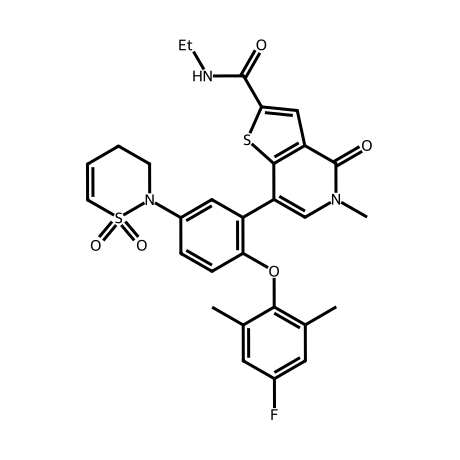 CCNC(=O)c1cc2c(=O)n(C)cc(-c3cc(N4CCC=CS4(=O)=O)ccc3Oc3c(C)cc(F)cc3C)c2s1